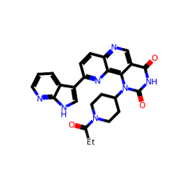 CCC(=O)N1CCC(n2c(=O)[nH]c(=O)c3cnc4ccc(-c5c[nH]c6ncccc56)nc4c32)CC1